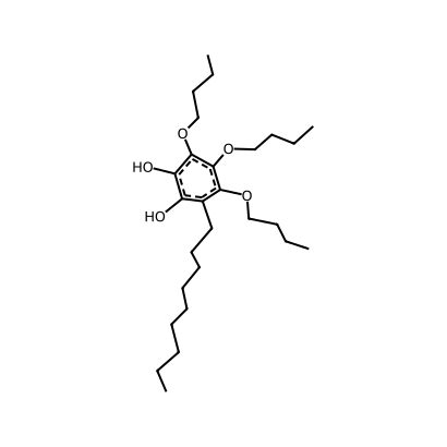 CCCCCCCCCc1c(O)c(O)c(OCCCC)c(OCCCC)c1OCCCC